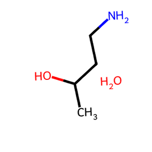 CC(O)CCN.O